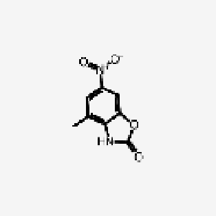 Cc1cc([N+](=O)[O-])cc2oc(=O)[nH]c12